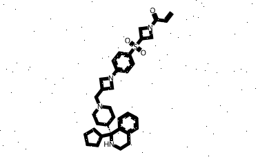 C=CC(=O)N1CC(S(=O)(=O)c2ccc(N3CC(CN4CCC([C@@]5(C6CCCC6)NCCc6ccccc65)CC4)C3)cc2)C1